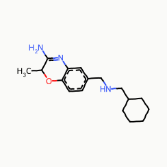 CC1Oc2ccc(CNCC3CCCCC3)cc2N=C1N